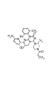 C=CC(=O)N1CCN(c2nc(=O)n(-c3c(C)cccc3C(C)C)c3nc(-c4nc(N)ccc4Cl)c(Cl)cc23)[C@@H](C)C1